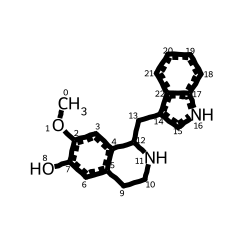 COc1cc2c(cc1O)CCNC2Cc1c[nH]c2ccccc12